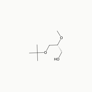 CO[C@H](CO)COC(C)(C)C